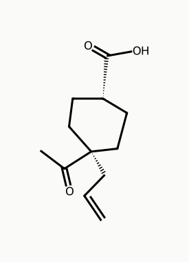 C=CC[C@]1(C(C)=O)CC[C@H](C(=O)O)CC1